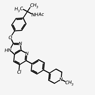 CC(=O)NC(C)(C)c1ccc(Oc2nc3nc(-c4ccc(C5=CCN(C)CC5)cc4)c(Cl)cc3[nH]2)cc1